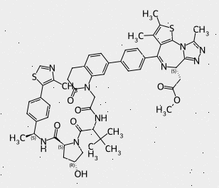 COC(=O)C[C@@H]1N=C(c2ccc(-c3ccc4c(c3)N(CC(=O)NC(C(=O)N3C[C@H](O)C[C@H]3C(=O)N[C@@H](C)c3ccc(-c5scnc5C)cc3)C(C)(C)C)C(=O)CC4)cc2)c2c(sc(C)c2C)-n2c(C)nnc21